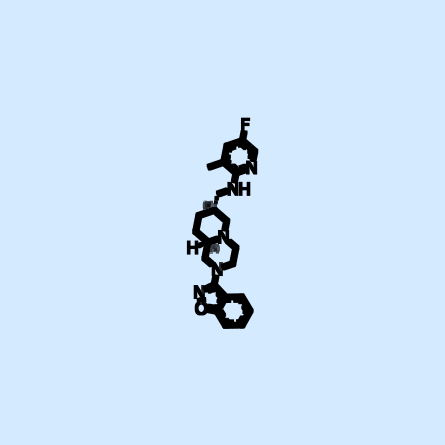 Cc1cc(F)cnc1NC[C@H]1CC[C@H]2CN(c3noc4ccccc34)CCN2C1